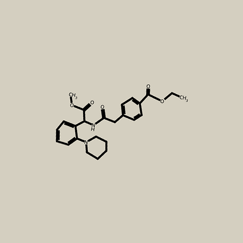 CCOC(=O)c1ccc(CC(=O)NC(C(=O)OC)c2ccccc2N2CCCCC2)cc1